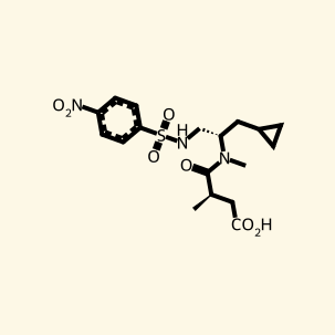 C[C@H](CC(=O)O)C(=O)N(C)[C@H](CNS(=O)(=O)c1ccc([N+](=O)[O-])cc1)CC1CC1